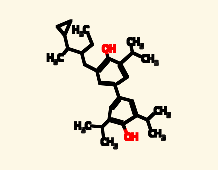 CCC(Cc1cc(-c2cc(C(C)C)c(O)c(C(C)C)c2)cc(C(C)C)c1O)C(C)C1CC1